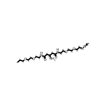 CCCOCCOCCNC(=O)CC(N)CC(=O)NCCOCCOCCN=[N+]=[N-]